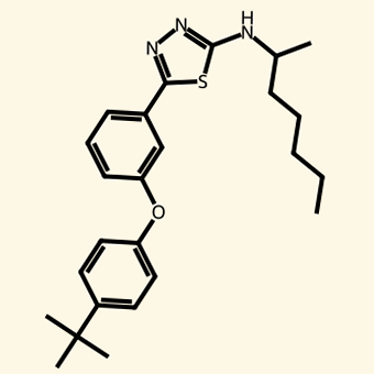 CCCCCC(C)Nc1nnc(-c2cccc(Oc3ccc(C(C)(C)C)cc3)c2)s1